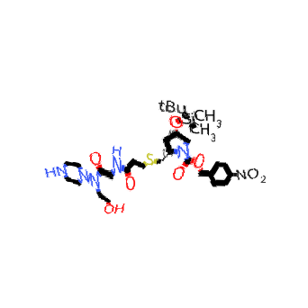 CC(C)(C)[Si](C)(C)O[C@H]1C[C@@H](CSCCC(=O)NCC(=O)N(CCO)N2CCNCC2)N(C(=O)OCc2ccc([N+](=O)[O-])cc2)C1